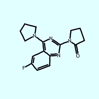 O=C1CCCN1c1nc(N2CCCC2)c2cc(F)ccc2n1